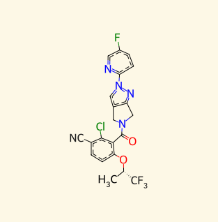 C[C@H](Oc1ccc(C#N)c(Cl)c1C(=O)N1Cc2cn(-c3ccc(F)cn3)nc2C1)C(F)(F)F